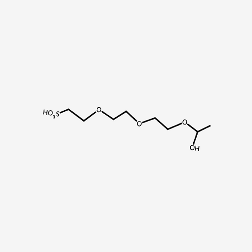 CC(O)OCCOCCOCCS(=O)(=O)O